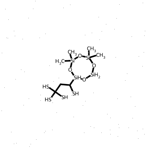 C[Si]1(C)O[SiH2]O[SiH](C(S)CC(S)(S)S)O[Si](C)(C)O1